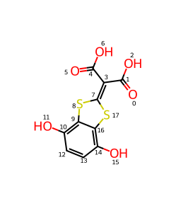 O=C(O)C(C(=O)O)=C1Sc2c(O)ccc(O)c2S1